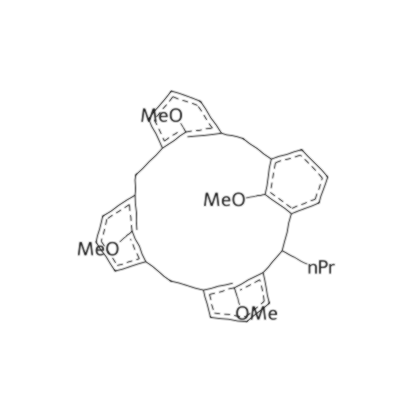 CCCC1c2cccc(c2OC)Cc2cccc(c2OC)Cc2cccc(c2OC)Cc2cccc1c2OC